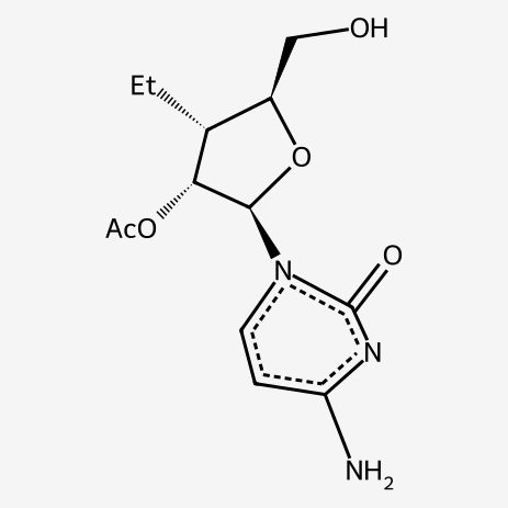 CC[C@H]1[C@@H](OC(C)=O)[C@H](n2ccc(N)nc2=O)O[C@@H]1CO